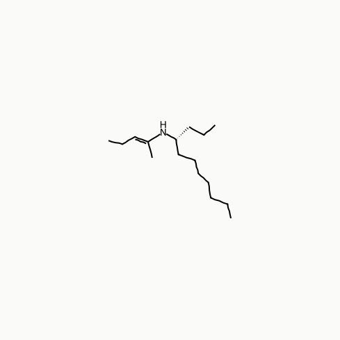 CC/C=C(\C)N[C@H](CCC)CCCCCCC